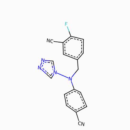 N#Cc1ccc(N(Cc2ccc(F)c(C#N)c2)n2cnnc2)cc1